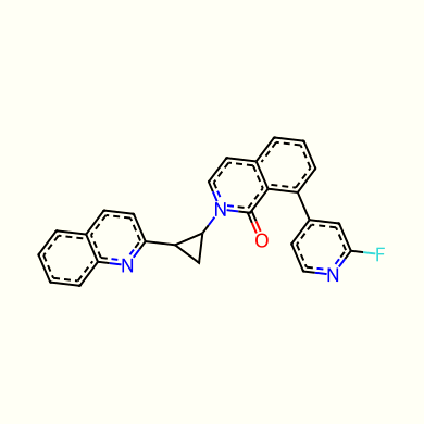 O=c1c2c(-c3ccnc(F)c3)cccc2ccn1C1CC1c1ccc2ccccc2n1